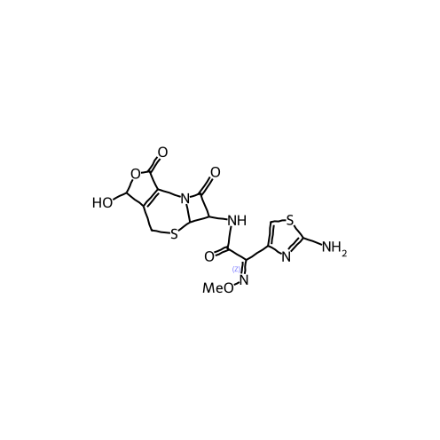 CO/N=C(\C(=O)NC1C(=O)N2C3=C(CSC12)C(O)OC3=O)c1csc(N)n1